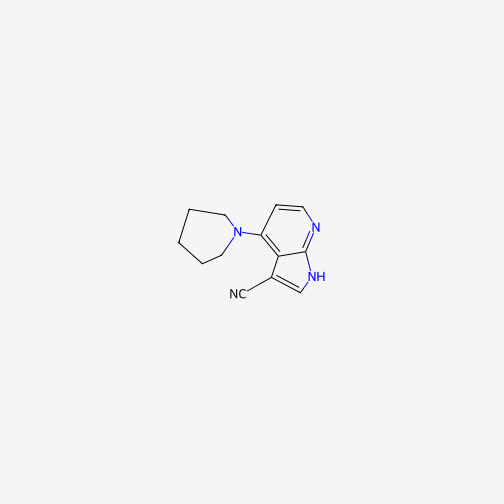 N#Cc1c[nH]c2nccc(N3CCCCC3)c12